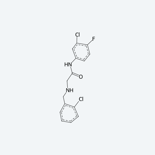 O=C(CNCc1ccccc1Cl)Nc1ccc(F)c(Cl)c1